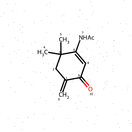 C=C1CC(C)(C)C(NC(C)=O)=CC1=O